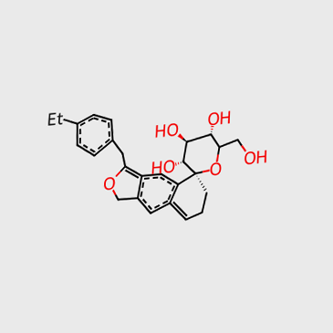 CCc1ccc(CC2=c3cc4c(cc3CO2)=CCC[C@]42OC(CO)[C@@H](O)[C@H](O)[C@H]2O)cc1